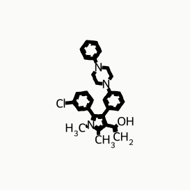 C=C(O)c1c(-c2cccc(N3CCN(c4ccccc4)CC3)c2)c(-c2cccc(Cl)c2)n(C)c1C